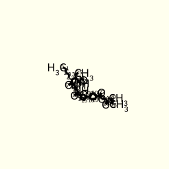 CCCCC[C@@H](C(=O)NCNC(=O)c1ccc(-c2ccc(C(=O)OCC(=O)N(C)C)cc2)o1)[C@@H](CC)N(O)C=O